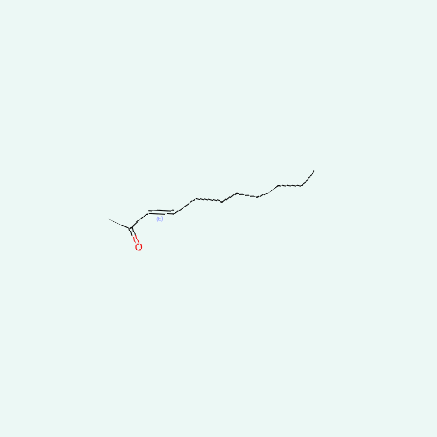 CCCCCCC/C=C/C(C)=O